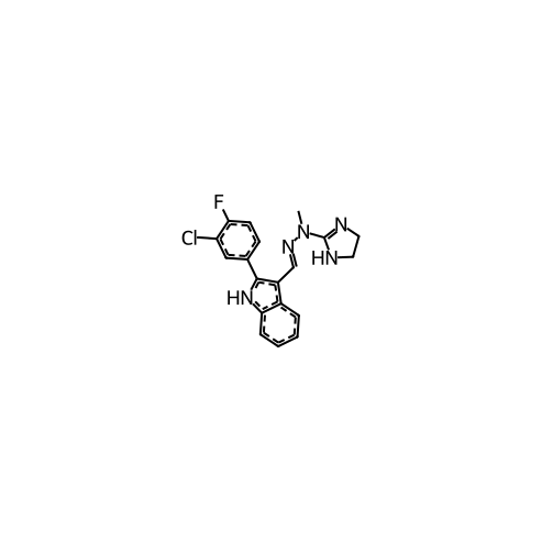 CN(/N=C/c1c(-c2ccc(F)c(Cl)c2)[nH]c2ccccc12)C1=NCCN1